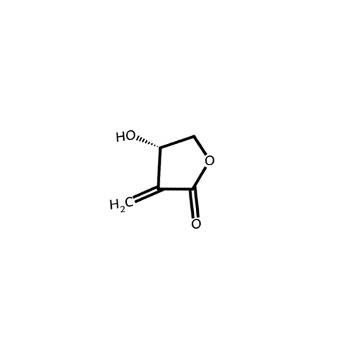 C=C1C(=O)OC[C@H]1O